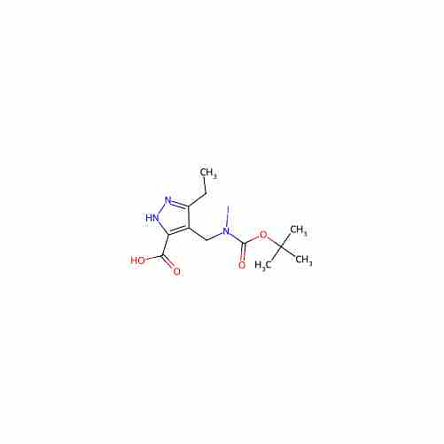 CCc1n[nH]c(C(=O)O)c1CN(I)C(=O)OC(C)(C)C